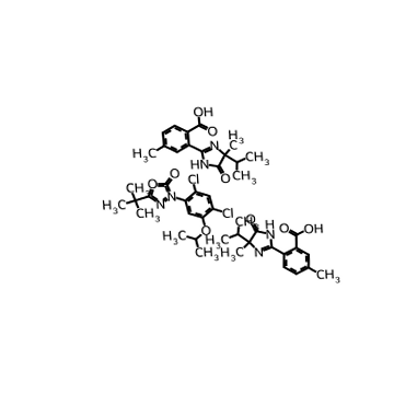 CC(C)Oc1cc(-n2nc(C(C)(C)C)oc2=O)c(Cl)cc1Cl.Cc1ccc(C(=O)O)c(C2=NC(C)(C(C)C)C(=O)N2)c1.Cc1ccc(C2=NC(C)(C(C)C)C(=O)N2)c(C(=O)O)c1